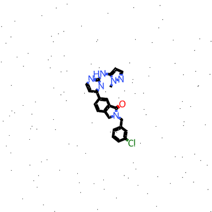 Cn1nccc1Nc1nccc(-c2ccc3c(c2)C(=O)N(Cc2cccc(Cl)c2)C3)n1